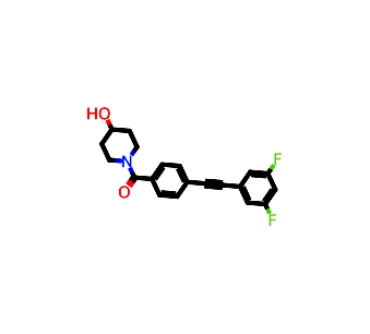 O=C(c1ccc(C#Cc2cc(F)cc(F)c2)cc1)N1CCC(O)CC1